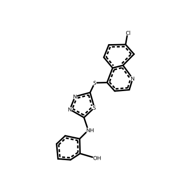 Oc1ccccc1Nc1nnc(Sc2ccnc3cc(Cl)ccc23)s1